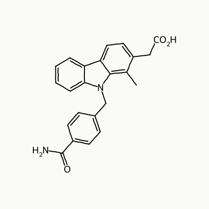 Cc1c(CC(=O)O)ccc2c3ccccc3n(Cc3ccc(C(N)=O)cc3)c12